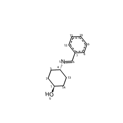 O[C@H]1CC[C@H](N=Cc2ccccc2)CC1